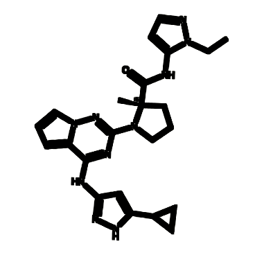 CCn1nccc1NC(=O)[C@]1(C)CCCN1c1nc(Nc2cc(C3CC3)[nH]n2)c2cccn2n1